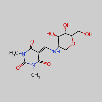 CN1C(=O)C(=CNC2COC(CO)[C@@H](O)[C@@H]2O)C(=O)N(C)C1=O